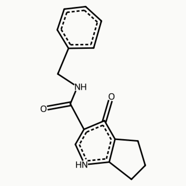 O=C(NCc1ccccc1)c1c[nH]c2c(c1=O)CCC2